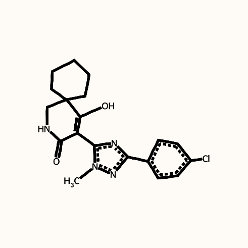 Cn1nc(-c2ccc(Cl)cc2)nc1C1=C(O)C2(CCCCC2)CNC1=O